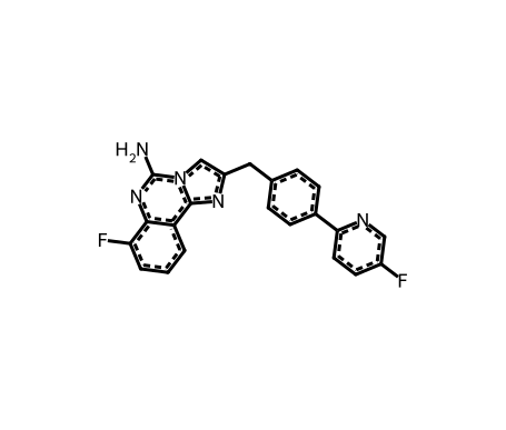 Nc1nc2c(F)cccc2c2nc(Cc3ccc(-c4ccc(F)cn4)cc3)cn12